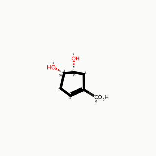 O=C(O)C1=CC[C@H](O)[C@H](O)C1